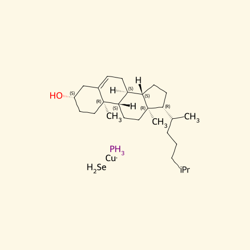 CC(C)CCCC(C)[C@H]1CC[C@H]2[C@@H]3CC=C4C[C@@H](O)CC[C@]4(C)[C@H]3CC[C@]12C.P.[Cu].[SeH2]